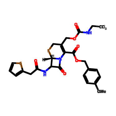 COc1ccc(COC(=O)C2=C(COC(=O)NCC(Cl)(Cl)Cl)CS[C@H]3C(NC(=O)Cc4cccs4)C(=O)N23)cc1